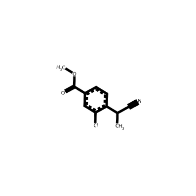 COC(=O)c1ccc(C(C)C#N)c(Cl)c1